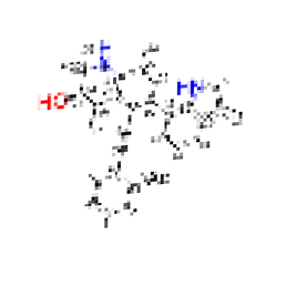 CC(=O)c1ccccc1C#Cc1c(-c2cccc3c(C)c[nH]c23)cc(C)c2c1[C@@H](C)[C@H](O)C(C)(C)N2